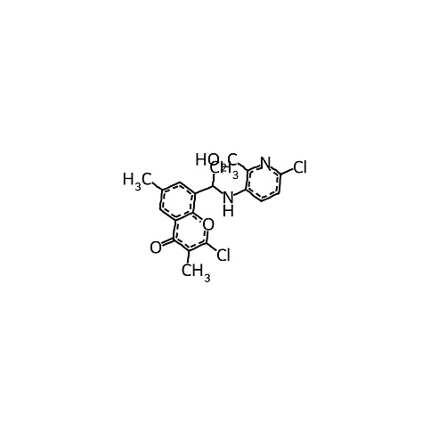 Cc1cc(C(C)Nc2ccc(Cl)nc2C(=O)O)c2oc(Cl)c(C)c(=O)c2c1